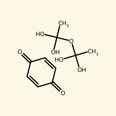 CC(O)(O)OC(C)(O)O.O=C1C=CC(=O)C=C1